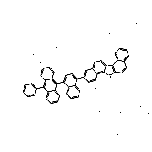 c1ccc(-c2c3ccccc3c(-c3ccc(-c4ccc5c(ccc6c5sc5ccc7ccccc7c56)c4)c4ccccc34)c3ccccc23)cc1